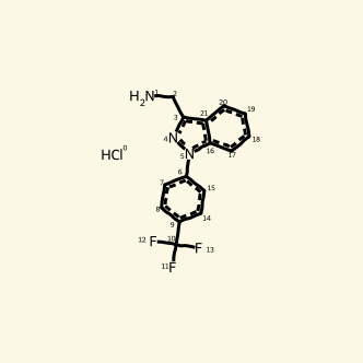 Cl.NCc1nn(-c2ccc(C(F)(F)F)cc2)c2ccccc12